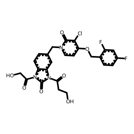 O=C(CO)n1c(=O)n(C(=O)CCO)c2cc(Cn3ccc(OCc4ccc(F)cc4F)c(Cl)c3=O)ccc21